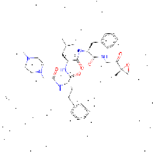 CC(C)C[C@H](NC(=O)[C@H](CCc1ccccc1)NC(=O)CN1CCN(C)CC1)C(=O)N[C@@H](Cc1ccccc1)C(=O)NCC(=O)[C@@]1(C)CO1